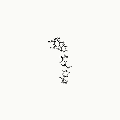 CNS(=O)(=O)c1ccc(C(=O)N2CCC(NC(=O)c3ccc4[nH]c5c(c4c3)C(C)(C)CC(C)(C)C5=O)C2)cn1